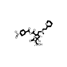 C[C@@H](O)[C@H]1C(=O)N2C(C(=O)OC(=O)c3ccc([N+](=O)[O-])cc3)=C(CN(C)CCc3ccccn3)[C@H](C)[C@H]12